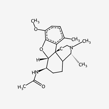 COc1ccc(C)c2c1O[C@H]1[C@H](NC(C)=O)CCC3[C@@H](C)N(C)CC[C@@]231